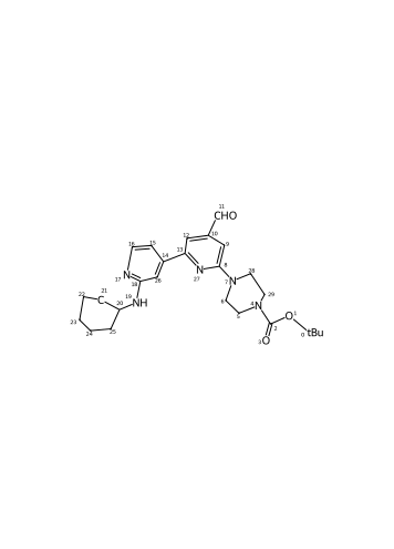 CC(C)(C)OC(=O)N1CCN(c2cc(C=O)cc(-c3ccnc(NC4CCCCC4)c3)n2)CC1